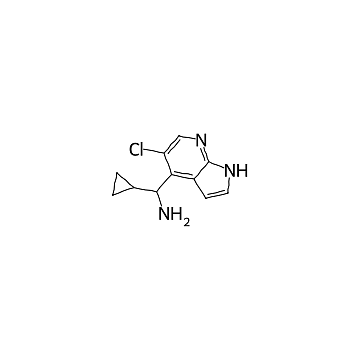 NC(c1c(Cl)cnc2[nH]ccc12)C1CC1